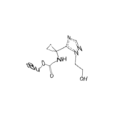 CC(C)(C)OC(=O)NC1(c2ncnn2CCO)CC1